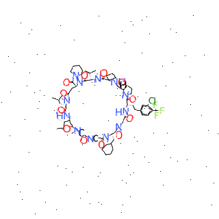 CC[C@H](C)[C@@H]1NC(=O)[C@H](CC(C)C)N(C)C(=O)C[C@@H](C(=O)N2CCCCC2)N(C)C(=O)[C@H](C(C)C)N(C)C(=O)C2(CCC2)NC(=O)[C@@H]2CCCN2C(=O)[C@H](CCc2ccc(C(F)(F)F)c(Cl)c2)NC(=O)CN(C)C(=O)[C@H](CC2CCCCC2)N(C)C(=O)CN(C)C(=O)CN(C)C1=O